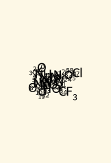 O=C1CC[C@H](CNC(=O)c2ccccc2-n2cnc(Cn3nc(-c4ccc(Cl)cc4)n(C[C@H](O)C(F)(F)F)c3=O)n2)N1